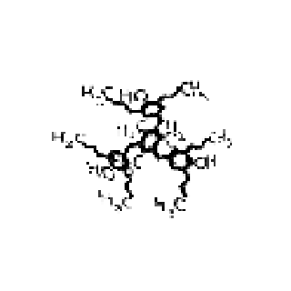 CCCCc1cc(Cc2c(C)c(Cc3cc(CCCC)c(O)c(CCCC)c3)c(C)c(Cc3cc(CCCC)c(O)c(CCCC)c3)c2C)cc(CCCC)c1O